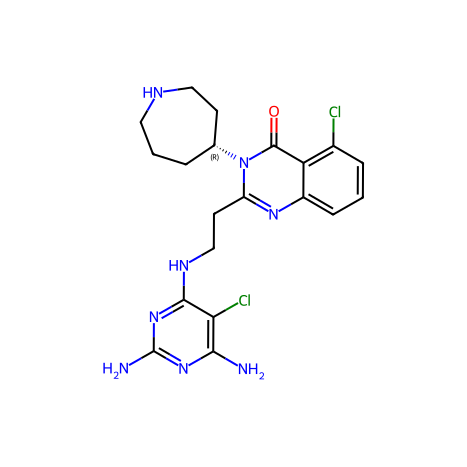 Nc1nc(N)c(Cl)c(NCCc2nc3cccc(Cl)c3c(=O)n2[C@@H]2CCCNCC2)n1